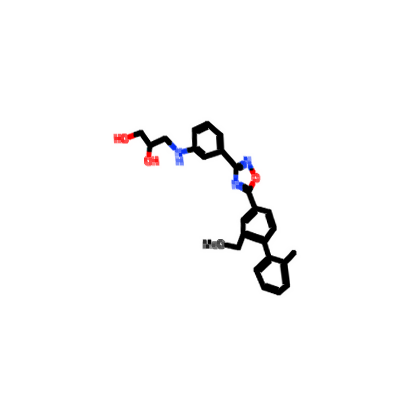 COCc1cc(-c2nc(-c3cccc(NCC(O)CO)c3)no2)ccc1-c1ccccc1C